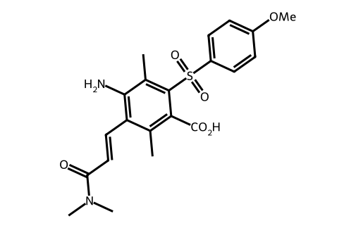 COc1ccc(S(=O)(=O)c2c(C)c(N)c(C=CC(=O)N(C)C)c(C)c2C(=O)O)cc1